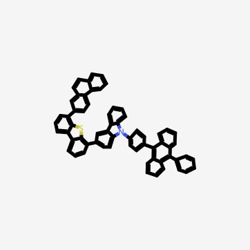 c1ccc(-c2c3ccccc3c(-c3ccc(-n4c5ccccc5c5cc(-c6cccc7c6sc6c(-c8ccc9c(ccc%10ccccc%109)c8)cccc67)ccc54)cc3)c3ccccc23)cc1